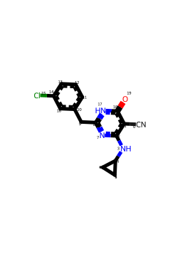 N#Cc1c(NC2CC2)nc(Cc2cccc(Cl)c2)[nH]c1=O